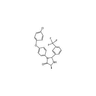 C[C@@H]1NC(c2cccc(C(F)(F)F)c2)N(c2ccc(Oc3ccc(Cl)cc3)cc2)C1=O